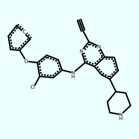 C#Cc1nc(Nc2ccc(Oc3ccccc3)c(Cl)c2)c2cc(C3CCNCC3)ccc2n1